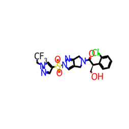 O=C([C@H](CO)c1ccccc1Cl)N1Cc2cn(S(=O)(=O)c3cnn(CC(F)(F)F)c3)nc2C1